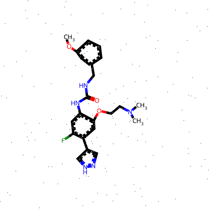 COc1cccc(CNC(=O)Nc2cc(F)c(-c3cn[nH]c3)cc2OCCN(C)C)c1